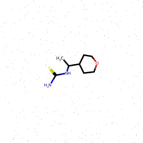 CC(NC(N)=S)C1CCOCC1